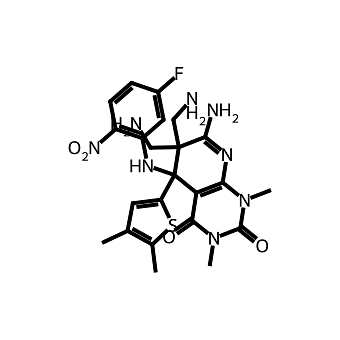 Cc1cc(C2(Nc3cc(F)ccc3[N+](=O)[O-])c3c(n(C)c(=O)n(C)c3=O)N=C(N)C2(CN)CN)sc1C